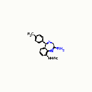 CC(=O)Nc1cccc2c1N=C(N)CN=C2c1ccc(C(F)(F)F)cc1